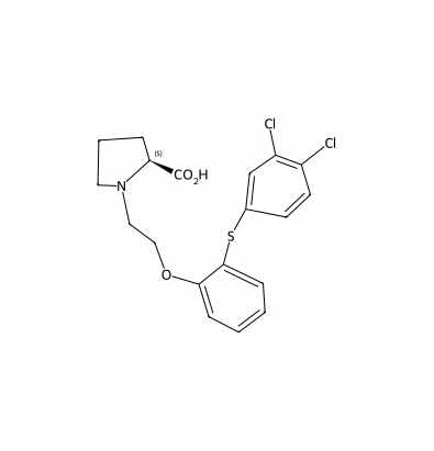 O=C(O)[C@@H]1CCCN1CCOc1ccccc1Sc1ccc(Cl)c(Cl)c1